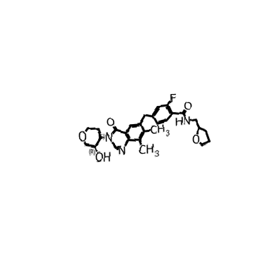 Cc1c(Cc2ccc(C(=O)NCC3CCCO3)c(F)c2)cc2c(=O)n([C@H]3CCOC[C@@H]3O)cnc2c1C